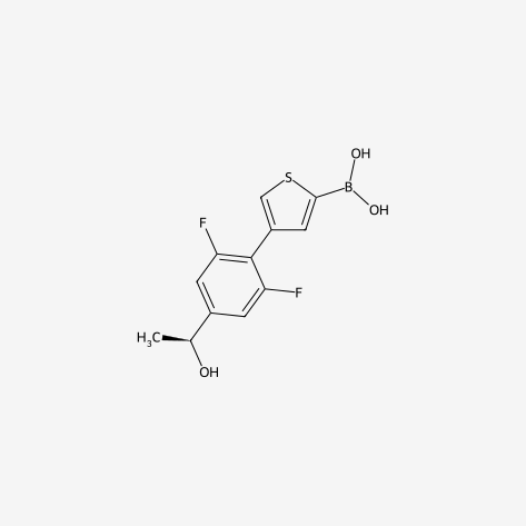 C[C@H](O)c1cc(F)c(-c2csc(B(O)O)c2)c(F)c1